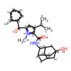 CC(C)c1cc(C(=O)c2ccccc2F)n(C)c1C(=O)NC1C2CC3CC1CC(O)(C3)C2